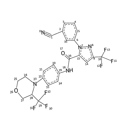 N#Cc1cccc(-n2nc(C(F)(F)F)cc2C(=O)Nc2ccc(N3CCOCC3C(F)(F)F)cc2)c1